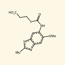 COc1cc2nc(C(C)(C)C)sc2cc1NC(=O)SCCC(=O)O